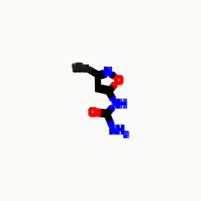 CC(C)(C)c1cc(NC(N)=O)on1